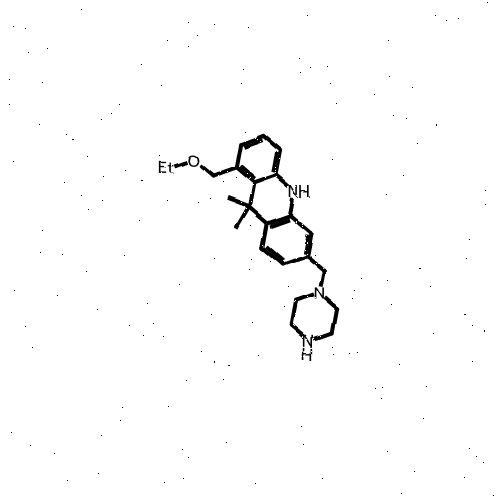 CCOCc1cccc2c1C(C)(C)c1ccc(CN3CCNCC3)cc1N2